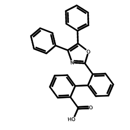 O=C(O)c1ccccc1-c1ccccc1-c1nc(-c2ccccc2)c(-c2ccccc2)o1